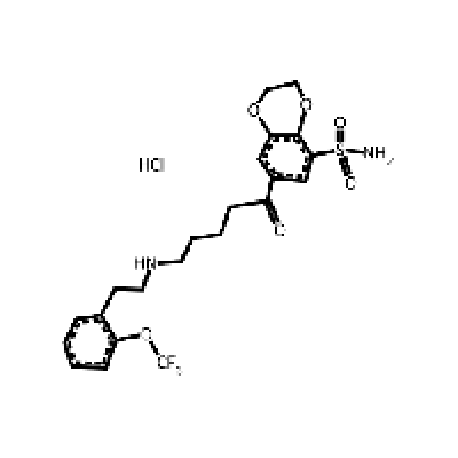 Cl.NS(=O)(=O)c1cc(C(=O)CCCCNCCc2ccccc2OC(F)(F)F)cc2c1OCCO2